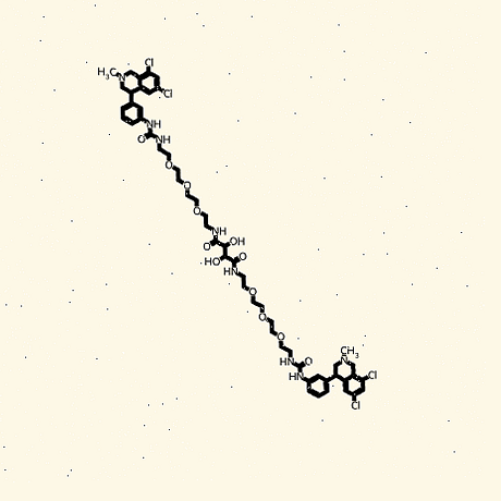 CN1Cc2c(Cl)cc(Cl)cc2C(c2cccc(NC(=O)NCCOCCOCCOCCNC(=O)C(O)C(O)C(=O)NCCOCCOCCOCCNC(=O)Nc3cccc(C4CN(C)Cc5c(Cl)cc(Cl)cc54)c3)c2)C1